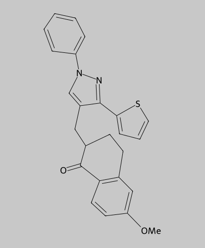 COc1ccc2c(c1)CCC(Cc1cn(-c3ccccc3)nc1-c1cccs1)C2=O